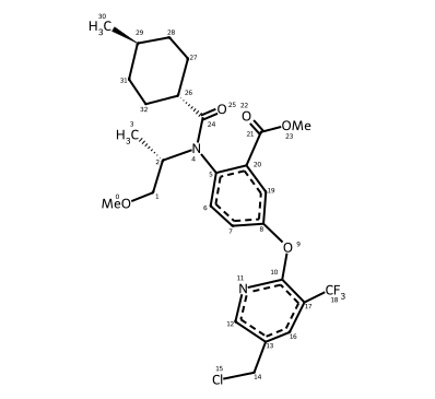 COC[C@H](C)N(c1ccc(Oc2ncc(CCl)cc2C(F)(F)F)cc1C(=O)OC)C(=O)[C@H]1CC[C@H](C)CC1